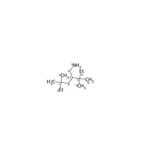 CCC(C)(C)CC(CN)C(C)(C)CC